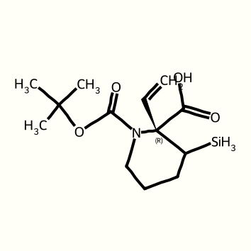 C=C[C@@]1(C(=O)O)C([SiH3])CCCN1C(=O)OC(C)(C)C